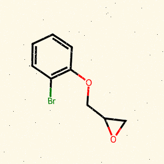 Brc1[c]cccc1OCC1CO1